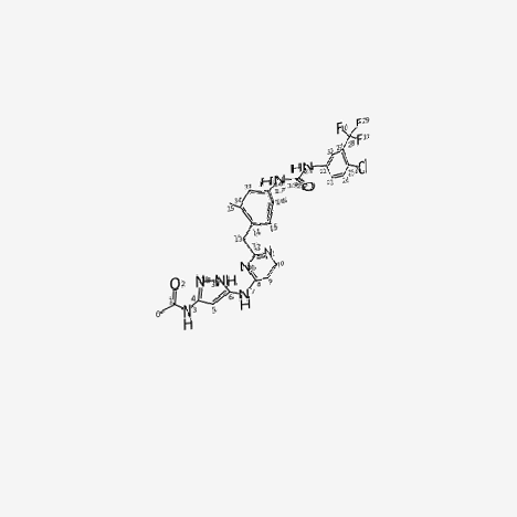 CC(=O)Nc1cc(Nc2ccnc(Cc3ccc(NC(=O)Nc4ccc(Cl)c(C(F)(F)F)c4)cc3C)n2)[nH]n1